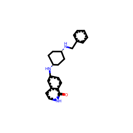 O=c1[nH]ccc2cc(N[C@H]3CC[C@@H](NCc4ccccc4)CC3)ccc12